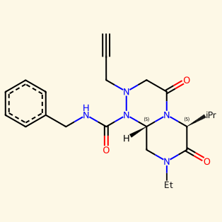 C#CCN1CC(=O)N2[C@@H](C(C)C)C(=O)N(CC)C[C@@H]2N1C(=O)NCc1ccccc1